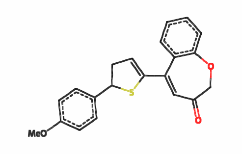 COc1ccc(C2CC=C(C3=CC(=O)COc4ccccc43)S2)cc1